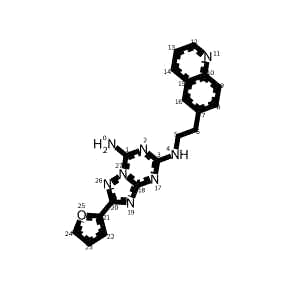 Nc1nc(NCCc2ccc3ncccc3c2)nc2nc(-c3ccco3)nn12